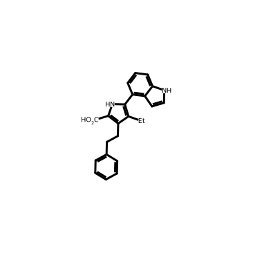 CCc1c(-c2cccc3[nH]ccc23)[nH]c(C(=O)O)c1CCc1ccccc1